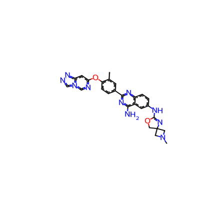 Cc1cc(-c2nc(N)c3cc(NC4=NC5(CO4)CN(C)C5)ccc3n2)ccc1Oc1cc2nncn2cn1